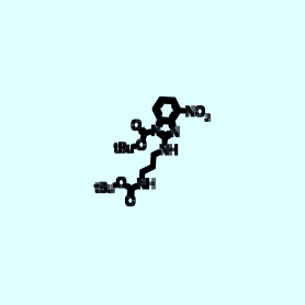 CC(C)(C)OC(=O)NCCCNc1nc2c([N+](=O)[O-])cccc2n1C(=O)OC(C)(C)C